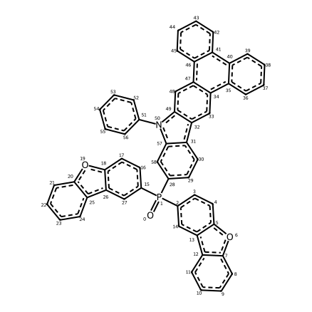 O=P(c1ccc2oc3ccccc3c2c1)(c1ccc2oc3ccccc3c2c1)c1ccc2c3cc4c5ccccc5c5ccccc5c4cc3n(-c3ccccc3)c2c1